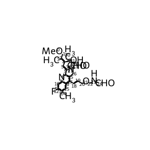 COC/C(C)=C(/C=C1/c2nc3cc(F)c(C)cc3c(/C=C/COCNC=O)c2CN1C=O)[C@](C)(O)C=O